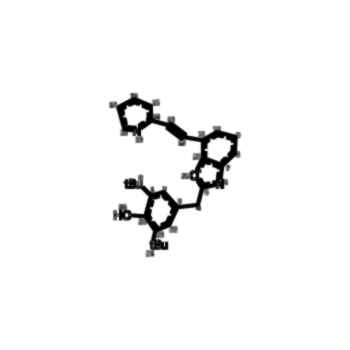 CC(C)(C)c1cc(Cc2nc3cccc(C#Cc4ccccn4)c3o2)cc(C(C)(C)C)c1O